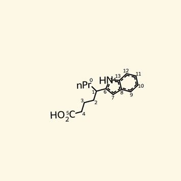 CCCC(CCCC(=O)O)c1cc2ccccc2[nH]1